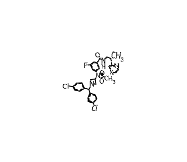 CC(CNC(=O)c1cc(F)cc(N(C2CN(C(c3ccc(Cl)cc3)c3ccc(Cl)cc3)C2)S(C)(=O)=O)c1)c1cnccn1